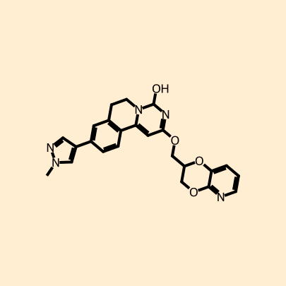 Cn1cc(-c2ccc3c(c2)CCN2C3=CC(OCC3COc4ncccc4O3)=NC2O)cn1